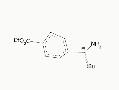 CCOC(=O)c1ccc([C@H](N)C(C)(C)C)cc1